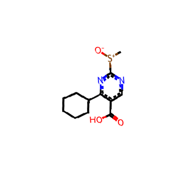 C[S+]([O-])c1ncc(C(=O)O)c(C2CCCCC2)n1